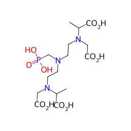 CC(C(=O)O)N(CCN(CCN(CC(=O)O)C(C)C(=O)O)CP(=O)(O)O)CC(=O)O